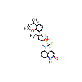 COc1c(C(C)C)cccc1C(C)(C)CC(O)C=[N+](c1cccc2[nH]c(=O)ccc12)C(F)(F)F